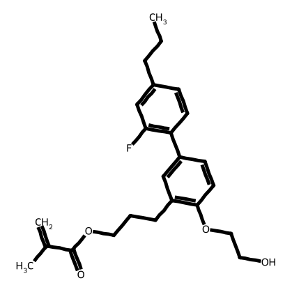 C=C(C)C(=O)OCCCc1cc(-c2ccc(CCC)cc2F)ccc1OCCO